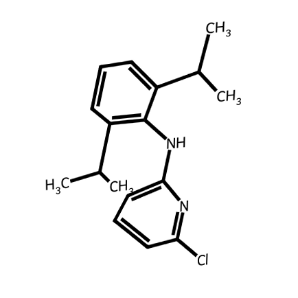 CC(C)c1cccc(C(C)C)c1Nc1cccc(Cl)n1